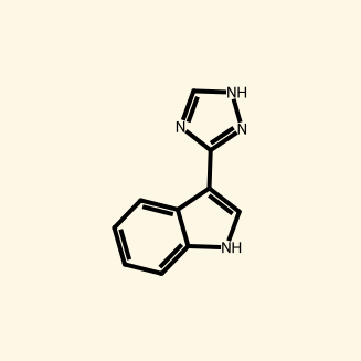 c1ccc2c(-c3nc[nH]n3)c[nH]c2c1